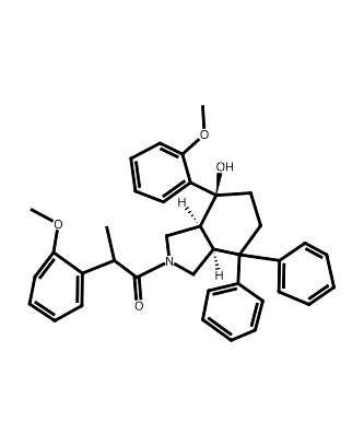 COc1ccccc1C(C)C(=O)N1C[C@@H]2[C@H](C1)C(c1ccccc1)(c1ccccc1)CC[C@@]2(O)c1ccccc1OC